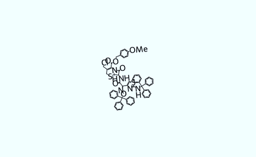 COc1ccc(COC(=O)C2=C(CCl)CS[C@@H]3[C@H](NC(=O)/C(=N/OC(c4ccccc4)(c4ccccc4)c4ccccc4)c4csc(NC(c5ccccc5)(c5ccccc5)c5ccccc5)n4)C(=O)N23)cc1